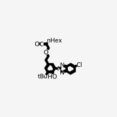 CCCCCCC(=C=O)COCCc1cc(-n2nc3ccc(Cl)cc3n2)c(O)c(C(C)(C)C)c1